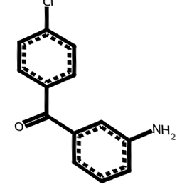 Nc1cccc(C(=O)c2ccc(Cl)cc2)c1